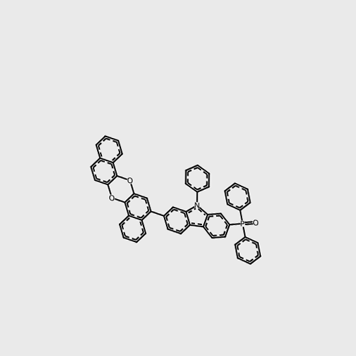 O=P(c1ccccc1)(c1ccccc1)c1ccc2c3ccc(-c4cc5c(c6ccccc46)Oc4ccc6ccccc6c4O5)cc3n(-c3ccccc3)c2c1